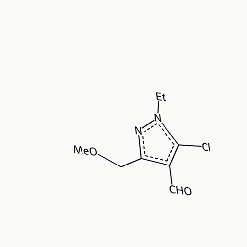 CCn1nc(COC)c(C=O)c1Cl